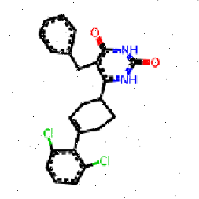 O=c1[nH]c(C2CC=C(c3c(Cl)cccc3Cl)CC2)c(Cc2ccccc2)c(=O)[nH]1